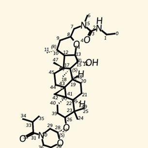 CCNC(=O)N(C)CC1C[C@@H](C)C2C(O1)[C@H](O)[C@@]1(C)[C@@H]3CC[C@H]4C(C)(C)C(O[C@H]5CN(C(=O)C(C)C)CCO5)CC[C@@]45C[C@@]35CC[C@]21C